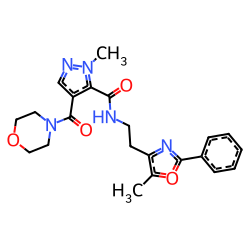 Cc1oc(-c2ccccc2)nc1CCNC(=O)c1c(C(=O)N2CCOCC2)cnn1C